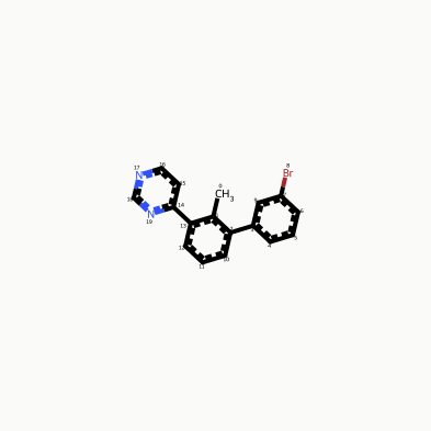 Cc1c(-c2cccc(Br)c2)cccc1-c1ccncn1